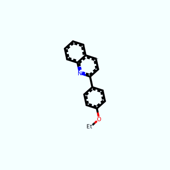 CCOc1ccc(-c2c[c]c3ccccc3n2)cc1